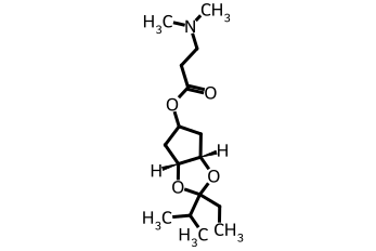 CCC1(C(C)C)O[C@H]2CC(OC(=O)CCN(C)C)C[C@H]2O1